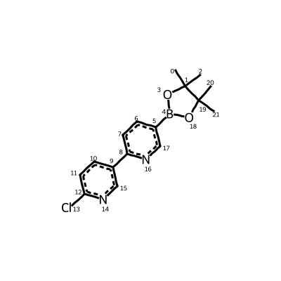 CC1(C)OB(c2ccc(-c3ccc(Cl)nc3)nc2)OC1(C)C